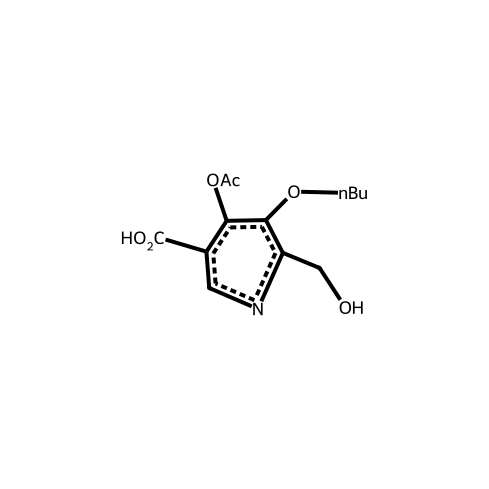 CCCCOc1c(CO)ncc(C(=O)O)c1OC(C)=O